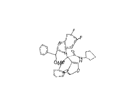 COC(c1ccccc1)c1nc2cc(F)c(F)cc2n1C(Cc1ccccc1)(C(=O)NC1CCCC1)C1=COCO1